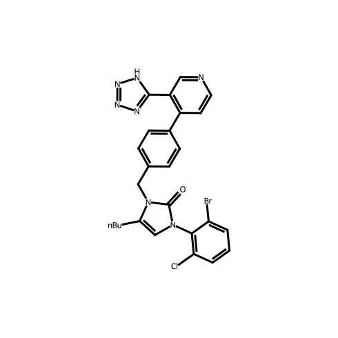 CCCCc1cn(-c2c(Cl)cccc2Br)c(=O)n1Cc1ccc(-c2ccncc2-c2nnn[nH]2)cc1